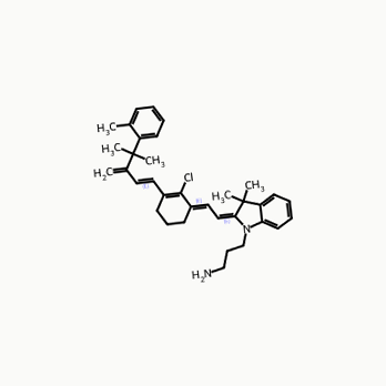 C=C(/C=C/C1=C(Cl)C(=C/C=C2/N(CCCN)c3ccccc3C2(C)C)/CCC1)C(C)(C)c1ccccc1C